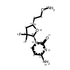 NOCC[C@@H]1CC(F)(F)[C@H](n2ccc(N)nc2=O)O1